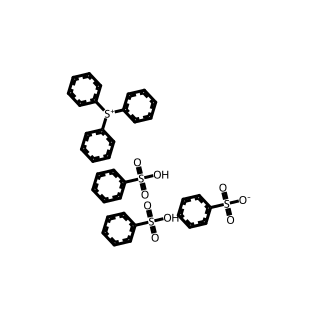 O=S(=O)(O)c1ccccc1.O=S(=O)(O)c1ccccc1.O=S(=O)([O-])c1ccccc1.c1ccc([S+](c2ccccc2)c2ccccc2)cc1